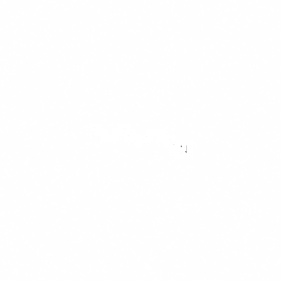 CC/C=C/CC#N